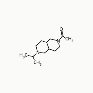 CC(=O)N1CCC2CN(C(C)C)CCC2C1